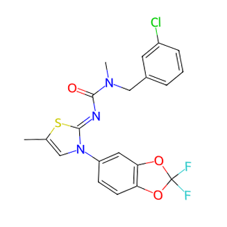 Cc1cn(-c2ccc3c(c2)OC(F)(F)O3)c(=NC(=O)N(C)Cc2cccc(Cl)c2)s1